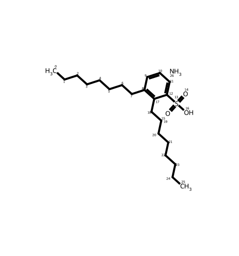 CCCCCCCCc1cccc(S(=O)(=O)O)c1CCCCCCCC.N